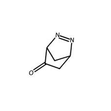 O=C1CC2CC1N=N2